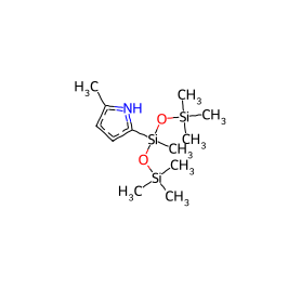 Cc1ccc([Si](C)(O[Si](C)(C)C)O[Si](C)(C)C)[nH]1